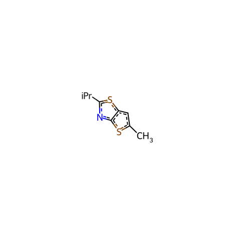 Cc1cc2sc(C(C)C)nc2s1